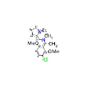 C=C(c1c(OC)ccc(Cl)c1OC)N(C)CC1CCCN1CC